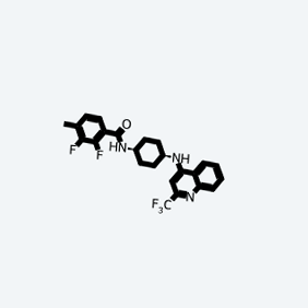 Cc1ccc(C(=O)N[C@H]2CC[C@@H](Nc3cc(C(F)(F)F)nc4ccccc34)CC2)c(F)c1F